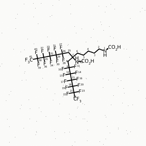 O=C(O)NCCCCCC(CC(F)(F)C(F)(F)C(F)(F)C(F)(F)C(F)(F)C(F)(F)F)(CC(F)(F)C(F)(F)C(F)(F)C(F)(F)C(F)(F)C(F)(F)F)NC(=O)O